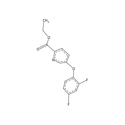 CCOC(=O)c1ccc(Oc2ccc(F)cc2F)cn1